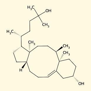 C[C@H](CCC(C)(C)O)[C@H]1CC[C@H]2CC/C=C3/C[C@@H](O)CC[C@]3(C)[C@H](C)CC[C@@]21C